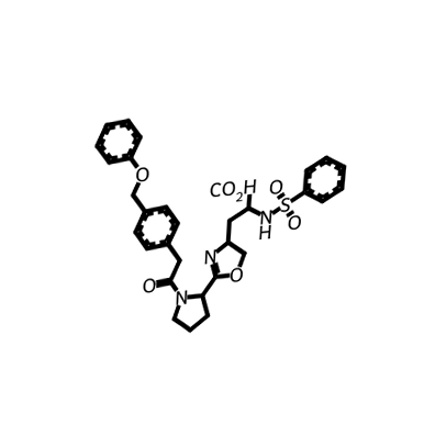 O=C(O)C(CC1COC(C2CCCN2C(=O)Cc2ccc(COc3ccccc3)cc2)=N1)NS(=O)(=O)c1ccccc1